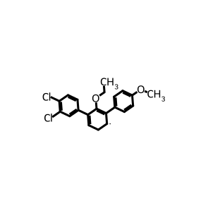 CCOC1=C(c2ccc(OC)cc2)[CH]CC=C1c1ccc(Cl)c(Cl)c1